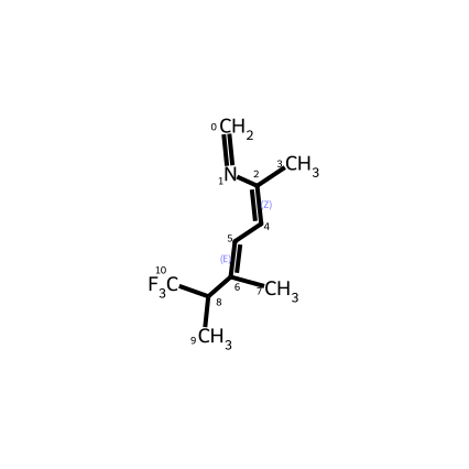 C=N/C(C)=C\C=C(/C)C(C)C(F)(F)F